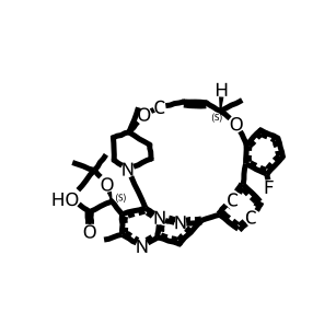 Cc1nc2cc3nn2c(c1[C@H](OC(C)(C)C)C(=O)O)N1CCC(C)(CC1)OCC=C[C@H](C)Oc1cccc(F)c1-c1cccc-3c1